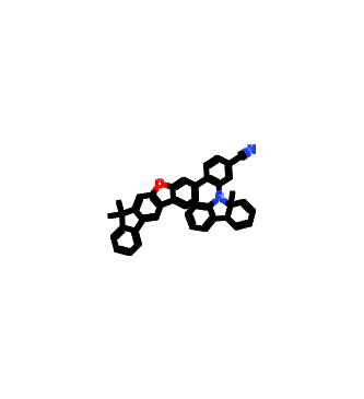 CC1(C)c2ccccc2-c2cc3c(cc21)oc1cc(-c2ccc(C#N)cc2N2c4ccccc4C4C=CC=CC42C)ccc13